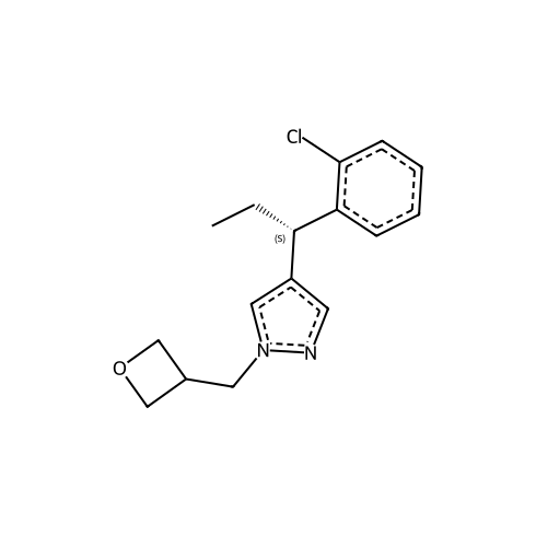 CC[C@@H](c1cnn(CC2COC2)c1)c1ccccc1Cl